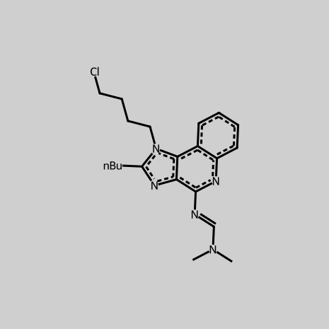 CCCCc1nc2c(N=CN(C)C)nc3ccccc3c2n1CCCCCl